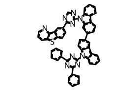 c1ccc(-c2nc(-c3ccccc3)nc(-n3c4ccccc4c4cc(-c5ccc6c7ccccc7n(-c7ncnc(-c8ccc9sc%10cccnc%10c9c8)n7)c6c5)ccc43)n2)cc1